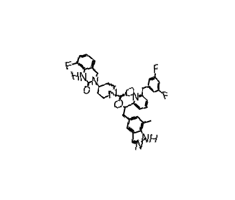 Cc1cc(CC(OC(=O)N2CCC(N3Cc4cccc(F)c4NC3=O)CC2)c2cccc(Cc3cc(F)cc(F)c3)n2)cc2cn[nH]c12